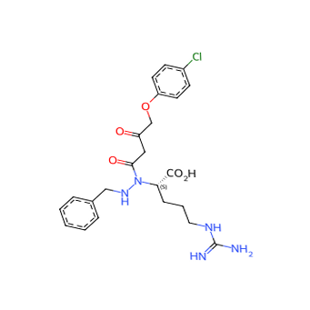 N=C(N)NCCC[C@@H](C(=O)O)N(NCc1ccccc1)C(=O)CC(=O)COc1ccc(Cl)cc1